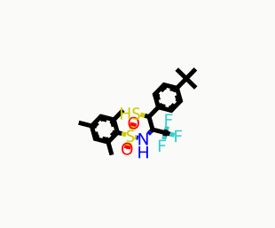 Cc1cc(C)c(S(=O)(=O)NC(C(S)c2ccc(C(C)(C)C)cc2)C(F)(F)F)c(C)c1